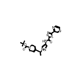 CC(C1CCN(C(=O)OC(C)(C)C)CC1)n1cc(NC(=O)c2nnc(-c3cnccn3)s2)cn1